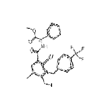 COC(=O)[C@@H](NC(=O)c1cc(C)c(CI)n(Cc2ccc(C(F)(F)F)cc2)c1=O)c1ccccc1